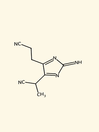 CC(C#N)C1=NC(=N)N=C1CCC#N